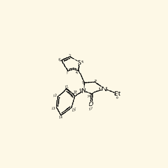 CCN1CC(c2cccs2)N(c2ccccc2)C1=O